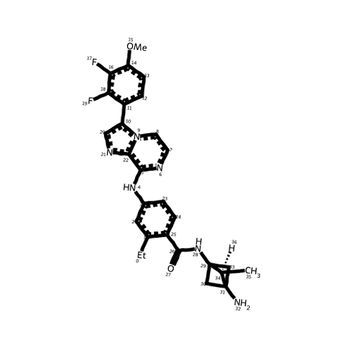 CCc1cc(Nc2nccn3c(-c4ccc(OC)c(F)c4F)cnc23)ccc1C(=O)NC12CC(N)(C1)[C@@H]2C